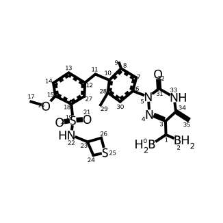 BC(B)C1=NN(c2cc(C)c(Cc3ccc(OC)c(S(=O)(=O)NC4CSC4)c3)c(C)c2)C(=O)NC1=C